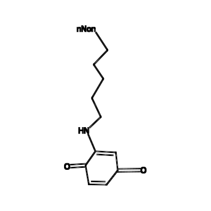 CCCCCCCCCCCCCCNC1=CC(=O)C=CC1=O